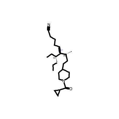 CCC[C@H](CC)/C(=C\CCCC#N)[C@H](C)CCC1CCN(C(=O)C2CC2)CC1